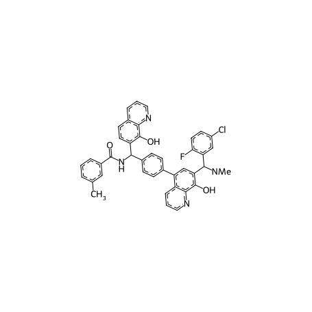 CNC(c1cc(Cl)ccc1F)c1cc(-c2ccc(C(NC(=O)c3cccc(C)c3)c3ccc4cccnc4c3O)cc2)c2cccnc2c1O